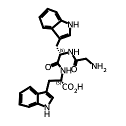 NCC(=O)N[C@@H](Cc1c[nH]c2ccccc12)C(=O)N[C@@H](Cc1c[nH]c2ccccc12)C(=O)O